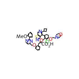 COc1ccccc1-c1nccc(COc2ccccc2C[C@@H](Oc2nsc3cnc(C4CCC4)c(C4=C(C)C(Cl)=C(OCCN5CCOCC5)CC4)c23)C(=O)O)n1